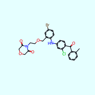 Cc1ccccc1C(=O)c1ccc(Nc2ccc(Br)cc2COCCN2C(=O)COCC2=O)cc1Cl